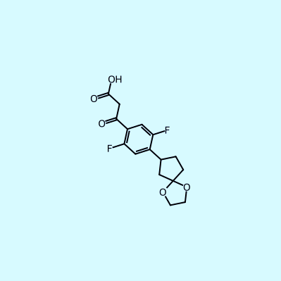 O=C(O)CC(=O)c1cc(F)c(C2CCC3(C2)OCCO3)cc1F